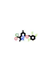 Cc1cc(OCc2c(F)ccc(F)c2F)n2nc(C)c(C(=O)Cl)c2c1